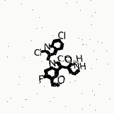 O=C(O)c1c(-c2ccc[nH]c2=O)c2c3occc3c(F)cc2n1Cc1cc2ccc(Cl)cc2nc1Cl